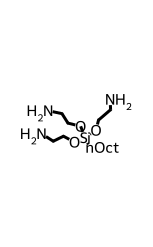 CCCCCCCC[Si](OCCN)(OCCN)OCCN